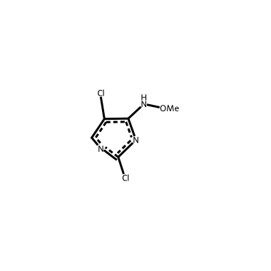 CONc1nc(Cl)ncc1Cl